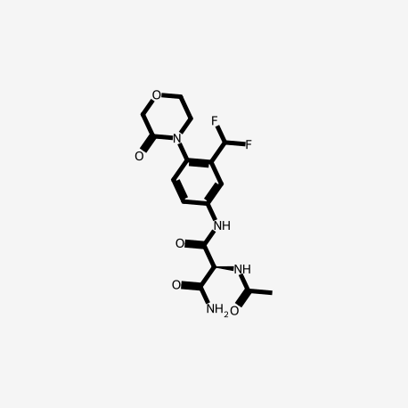 CC(=O)N[C@@H](C(N)=O)C(=O)Nc1ccc(N2CCOCC2=O)c(C(F)F)c1